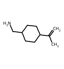 C=C(C)C1CCC(CN)CC1